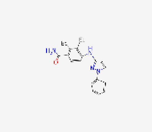 CCc1c(Nc2ccn(-c3ccccc3)n2)ccc(C(N)=O)c1CC